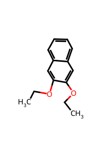 CCOc1cc2ccccc2cc1OCC